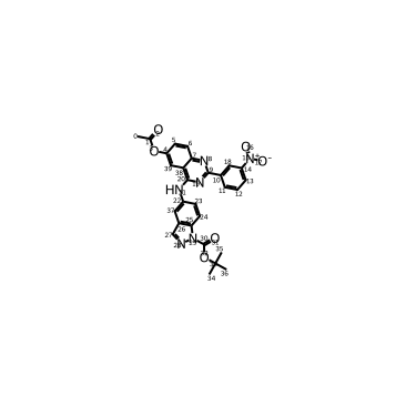 CC(=O)Oc1ccc2nc(-c3cccc([N+](=O)[O-])c3)nc(Nc3ccc4c(cnn4C(=O)OC(C)(C)C)c3)c2c1